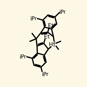 CCC1=C2c3c(C(C)C)cc(C(C)C)cc3[CH]1[Hf]([CH3])([CH3])[CH]1C(CC)=C(c3c(C(C)C)cc(C(C)C)cc31)C2(C)C